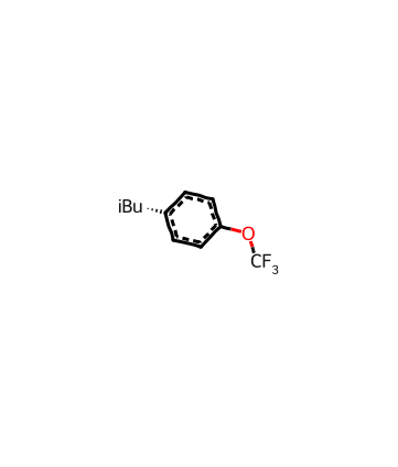 CC[C@@H](C)c1ccc(OC(F)(F)F)cc1